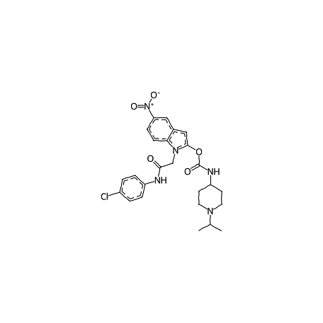 CC(C)N1CCC(NC(=O)Oc2cc3cc([N+](=O)[O-])ccc3n2CC(=O)Nc2ccc(Cl)cc2)CC1